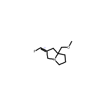 COCC12CCCN1C/C(=C\F)C2